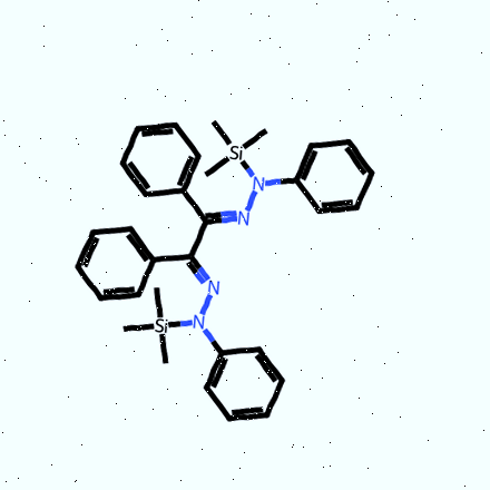 C[Si](C)(C)N(N=C(C(=NN(c1ccccc1)[Si](C)(C)C)c1ccccc1)c1ccccc1)c1ccccc1